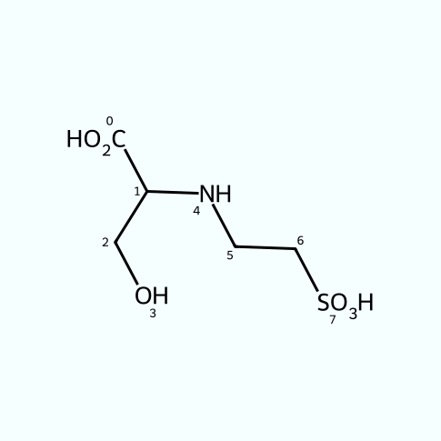 O=C(O)C(CO)NCCS(=O)(=O)O